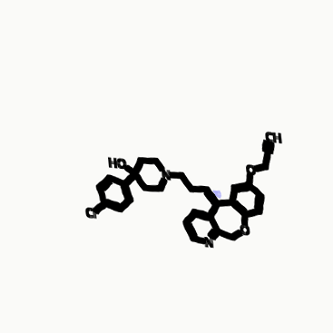 C#CCOc1ccc2c(c1)/C(=C/CCN1CCC(O)(c3ccc(Cl)cc3)CC1)c1cccnc1CO2